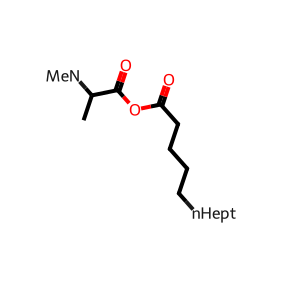 CCCCCCCCCCCC(=O)OC(=O)C(C)NC